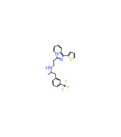 CC(Cc1cccc(C(F)(F)F)c1)NCCc1nc(-c2cccs2)c2ccccn12